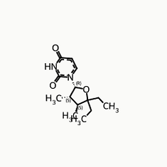 CCC1(CC)O[C@@H](n2ccc(=O)[nH]c2=O)[C@@H](C)[C@@H]1C